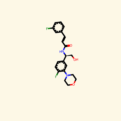 O=C(C=Cc1cccc(F)c1)N[C@@H](CO)c1ccc(F)c(N2CCOCC2)c1